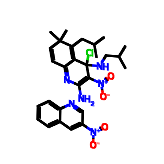 CC(C)CNC1(Cl)C2=C(CC(C)C)C(C)(C)C=CC2=NC(N)=C1[N+](=O)[O-].O=[N+]([O-])c1cnc2ccccc2c1